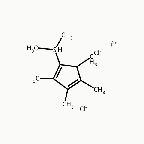 CC1=C(C)C(C)C([SiH](C)C)=C1C.[Cl-].[Cl-].[Ti+2]